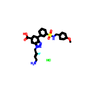 COc1ccc(CNS(=O)(=O)c2cccc(-c3cc(C(=O)O)cc4c3nnn4C/C(F)=C/CN)c2)cc1.Cl